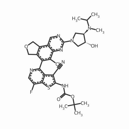 CC(C)N(C)[C@@H]1CN(c2ncc3c4c(c(-c5ncc(F)c6sc(NC(=O)OC(C)(C)C)c(C#N)c56)c(Cl)c3n2)COC4)C[C@H]1O